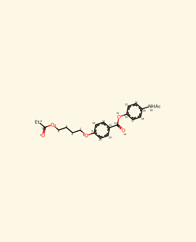 CCC(=O)OCCCCOc1ccc(C(=O)Oc2ccc(NC(C)=O)cc2)cc1